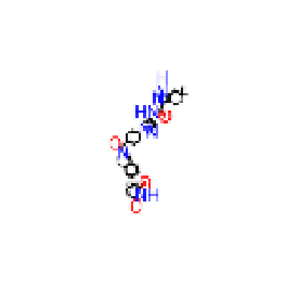 CC1(C)CCc2c(C(=O)Nc3cnn(C4CCC(C(=O)N5CCc6cc([C@H]7CCC(=O)NC7=O)ccc6C5)CC4)c3)n[nH]c2C1